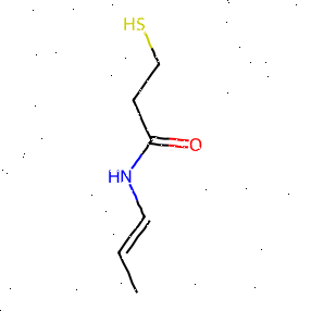 CC=CNC(=O)CCS